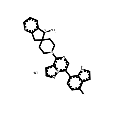 Cl.N[C@@H]1c2cccnc2CC12CCN(c1ncc(-c3ccc(F)c4cc[nH]c34)n3nccc13)CC2